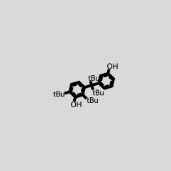 CC(C)(C)c1ccc(C(c2cccc(O)c2)(C(C)(C)C)C(C)(C)C)c(C(C)(C)C)c1O